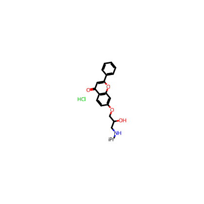 CC(C)NCC(O)COc1ccc2c(=O)cc(-c3ccccc3)oc2c1.Cl